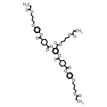 C=CC(=O)OCCCCOC(=O)c1cc(OC(=O)C2CCC(C(=O)Oc3ccc(OCCCCOC(=O)C=C)cc3)CC2)ccc1OC(=O)C1CCC(C(=O)Oc2ccc(OCCCCOC(=O)C=C)cc2)CC1